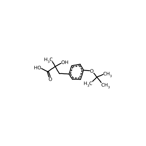 CC(C)(C)Oc1ccc(CC(C)(O)C(=O)O)cc1